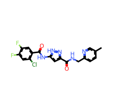 Cc1ccc(CNC(=O)c2cc(NC(=O)c3cc(F)c(F)cc3Cl)[nH]n2)nc1